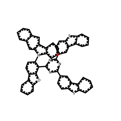 c1ccc2cc3c(cc2c1)c1ccccc1n3-c1ccc2c(oc3ccccc32)c1-c1nc(-c2ccc3sc4ccccc4c3c2)nc(-c2ccc3sc4ccccc4c3c2)n1